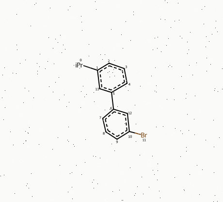 CC(C)c1cccc(-c2cccc(Br)c2)c1